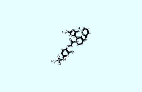 CCc1nc(NS(C)(=O)=O)ccc1OCC(=O)N1CCc2nc3cccnn3c2C1c1sc(C)nc1C